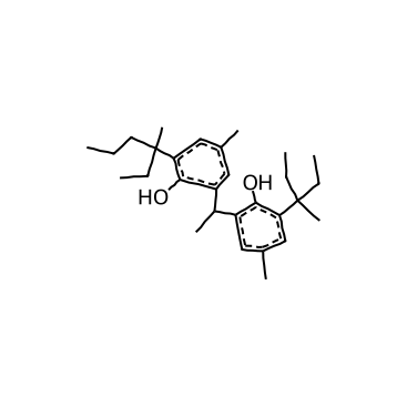 CCCC(C)(CC)c1cc(C)cc(C(C)c2cc(C)cc(C(C)(CC)CC)c2O)c1O